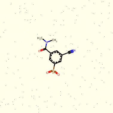 CN(C)C(=O)c1cc(C#N)cc([SH](=O)=O)c1